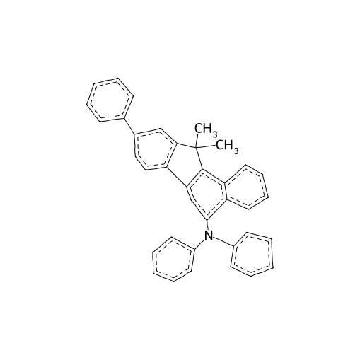 CC1(C)c2cc(-c3ccccc3)ccc2-c2cc(N(c3ccccc3)c3ccccc3)c3ccccc3c21